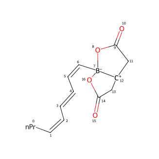 CCC\C=C/C=C/C=C\[B-]12OC(=O)C[C+]1CC(=O)O2